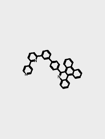 c1cc(-c2ccc(-c3nc4ccccc4c4c5ccccc5c5ccccc5c34)cc2)cc(-c2cccc(-c3ccncc3)n2)c1